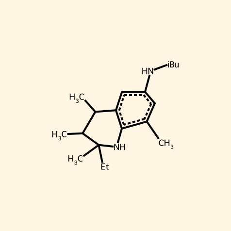 CCC(C)Nc1cc(C)c2c(c1)C(C)C(C)C(C)(CC)N2